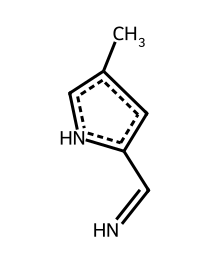 Cc1c[nH]c(C=N)c1